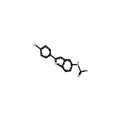 CC(C)C(=O)Nc1ccc2oc(-c3ccc(Cl)cc3)cc2c1